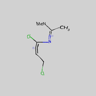 CN/C(C)=N\C(Cl)=C/CCl